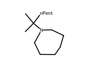 CCCCCC(C)(C)N1CCCCCC1